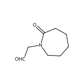 O=CCN1CCCCCC1=O